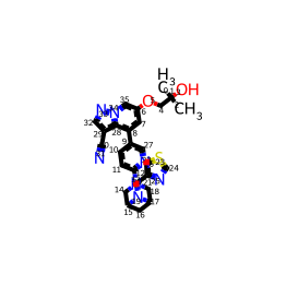 CC(C)(O)COc1cc(-c2ccc(N3CC4CC(C3)N4Cc3cscn3)nc2)c2c(C#N)cnn2c1